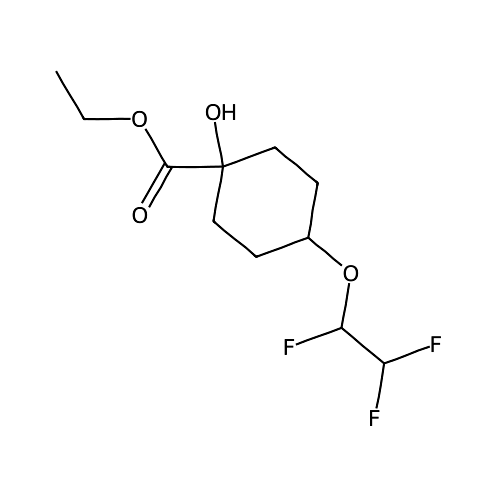 CCOC(=O)C1(O)CCC(OC(F)C(F)F)CC1